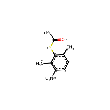 CCCC(=O)Sc1c(C)ccc([N+](=O)[O-])c1C